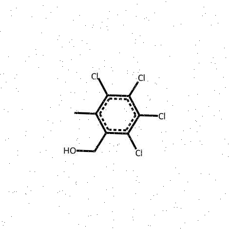 Cc1c(Cl)c(Cl)c(Cl)c(Cl)c1CO